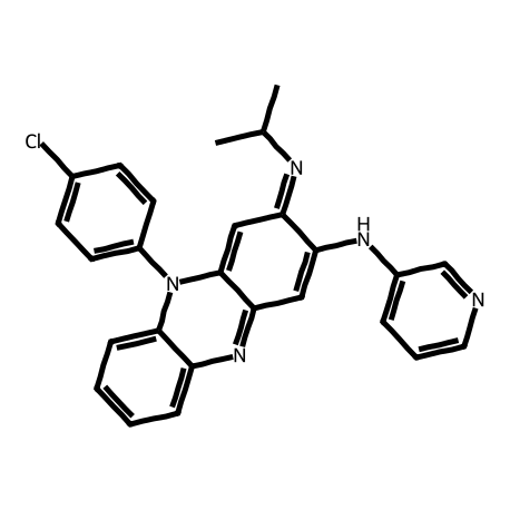 CC(C)/N=c1\cc2n(-c3ccc(Cl)cc3)c3ccccc3nc-2cc1Nc1cccnc1